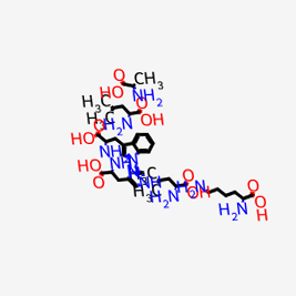 CC(C)C[C@@H](N)C(=O)O.CC(C)C[C@H](N)C(=O)O.C[C@@H](N)C(=O)O.NCCCC[C@H](N)C(=O)O.N[C@@H](Cc1c[nH]cn1)C(=O)O.N[C@H](Cc1c[nH]c2ccccc12)C(=O)O